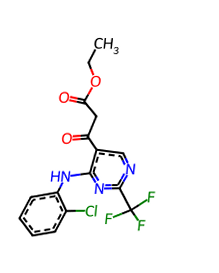 CCOC(=O)CC(=O)c1cnc(C(F)(F)F)nc1Nc1ccccc1Cl